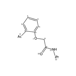 [CH2]C(=O)c1ccccc1OCC(=O)NC(C)C